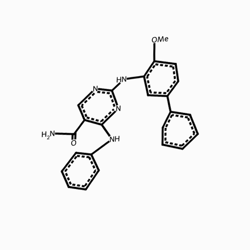 COc1ccc(-c2ccccc2)cc1Nc1ncc(C(N)=O)c(Nc2ccccc2)n1